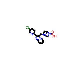 O=C(O)N1CC2CCC1CN2Cc1c(-c2ccc(Cl)cn2)nc2ccccn12